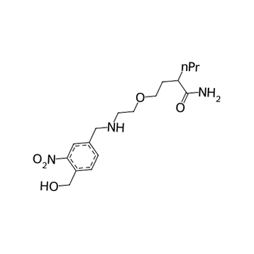 CCCC(CCOCCNCc1ccc(CO)c([N+](=O)[O-])c1)C(N)=O